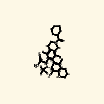 C=C(C1CCCCC1)N1CCc2c(C)c([C@H](OC(C)(C)C)C(=O)O)c(-c3cc(F)c4c(c3C)CCCO4)c(C)c2C1